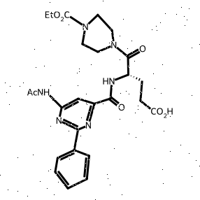 CCOC(=O)N1CCN(C(=O)[C@H](CCC(=O)O)NC(=O)c2cc(NC(C)=O)nc(-c3ccccc3)n2)CC1